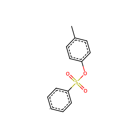 Cc1ccc(OS(=O)(=O)c2cc[c]cc2)cc1